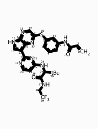 C=CC(=O)Nc1cccc(Sc2cnc3[nH]cc(-c4nccc(NC(C(=O)NCC(F)(F)F)C(C)(C)C)n4)c3n2)c1